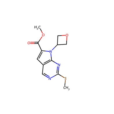 COC(=O)c1cc2cnc(SC)nc2n1C1COC1